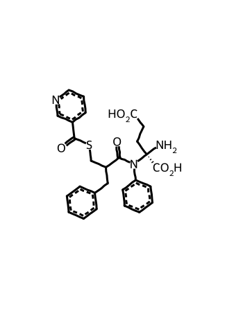 N[C@@](CCC(=O)O)(C(=O)O)N(C(=O)C(CSC(=O)c1cccnc1)Cc1ccccc1)c1ccccc1